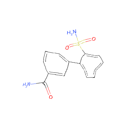 NC(=O)c1cccc(-c2ccccc2S(N)(=O)=O)c1